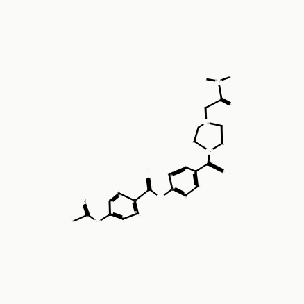 CN(C)C(=O)CN1CCN(C(=O)c2ccc(OC(=O)c3ccc(NC(=N)N)cc3)cc2)CC1